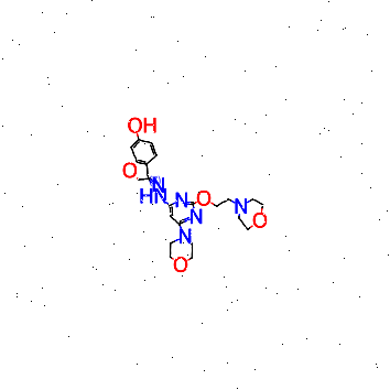 Oc1ccc2c(c1)OC/C2=N\Nc1cc(N2CCOCC2)nc(OCCN2CCOCC2)n1